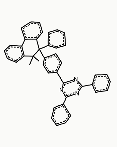 CC1(C)c2ccccc2-c2ccccc2C1(c1ccccc1)c1ccc(-c2nc(-c3ccccc3)nc(-c3ccccc3)n2)cc1